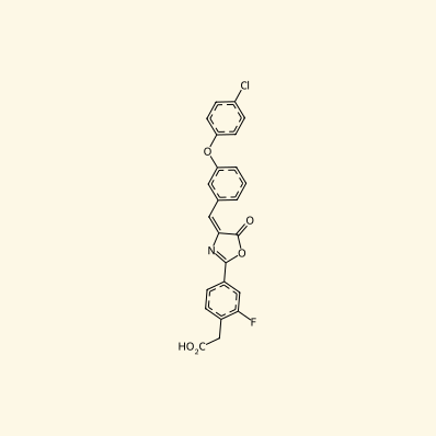 O=C(O)Cc1ccc(C2=NC(=Cc3cccc(Oc4ccc(Cl)cc4)c3)C(=O)O2)cc1F